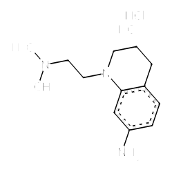 CN(C)CCN1CCCc2ccc(N)cc21.Cl.Cl